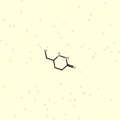 O=C1CCC(CBr)NN1